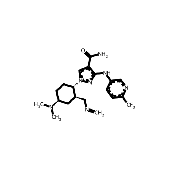 C=NC[C@H]1C[C@@H](N(C)C)CC[C@@H]1n1cc(C(N)=O)c(Nc2ccc(C(F)(F)F)nc2)n1